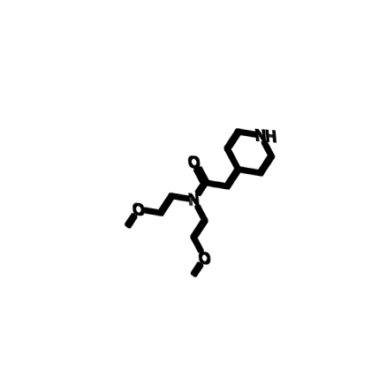 COCCN(CCOC)C(=O)CC1CCNCC1